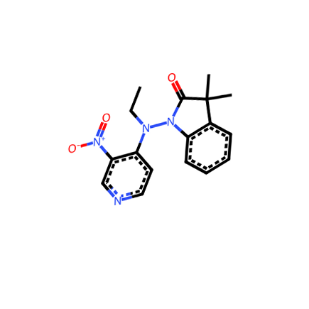 CCN(c1ccncc1[N+](=O)[O-])N1C(=O)C(C)(C)c2ccccc21